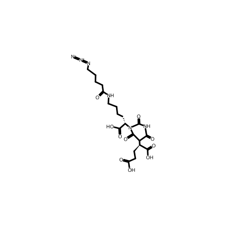 [N-]=[N+]=NCCCCC(=O)NCCCC[C@@H](C(=O)O)N1C(=O)NC(=O)C([C@H](CCC(=O)O)C(=O)O)C1=O